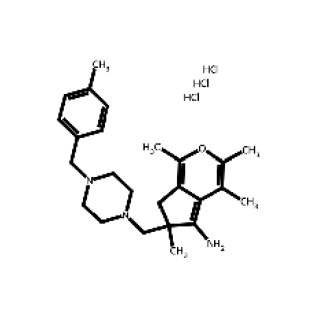 CC1=C(C)C2=C(N)C(C)(CN3CCN(Cc4ccc(C)cc4)CC3)CC2=C(C)O1.Cl.Cl.Cl